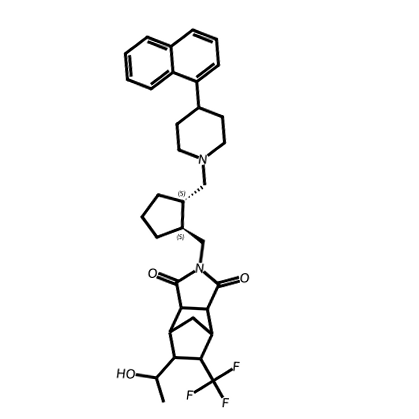 CC(O)C1C2CC(C3C(=O)N(C[C@H]4CCC[C@@H]4CN4CCC(c5cccc6ccccc56)CC4)C(=O)C23)C1C(F)(F)F